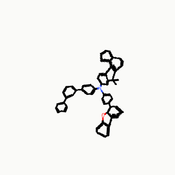 CC1(C)c2cc(N(c3ccc(-c4cccc(-c5ccccc5)c4)cc3)c3ccc(-c4cccc5c4oc4ccccc45)cc3)ccc2-c2c1ccc1ccccc21